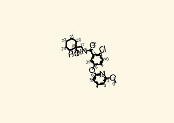 COc1cccc(Oc2ccc(Cl)c(C(=O)NCC3(O)CCCCC3)c2)n1